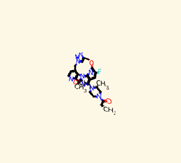 C=CC(=O)N1CCN(c2nc(=O)n3c4nc(c(F)cc24)OCc2cn(nn2)Cc2ccnc(C(C)C)c2-3)[C@@H](C)C1